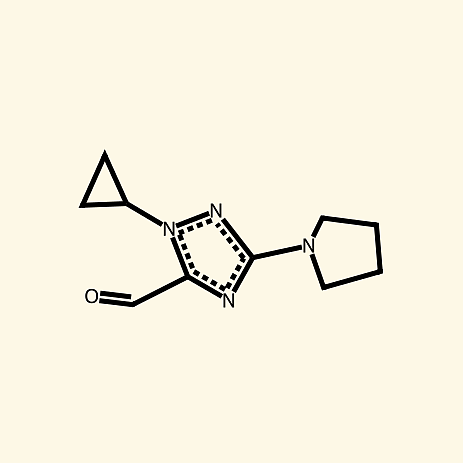 O=Cc1nc(N2CCCC2)nn1C1CC1